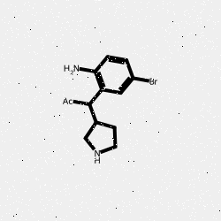 CC(=O)C(c1cc(Br)ccc1N)C1CCNC1